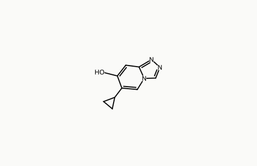 Oc1cc2nncn2cc1C1CC1